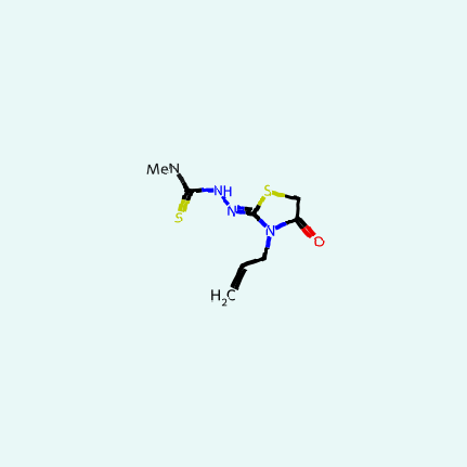 C=CCN1C(=O)CSC1=NNC(=S)NC